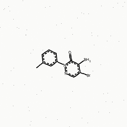 Bc1c(Br)cnn(-c2cccc(C)c2)c1=O